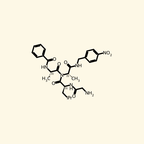 CC(C)C[C@H](NC(=O)CN)C(=O)N(C(=O)[C@H](C)NC(=O)c1ccccc1)[C@@H](C)C(=O)NCc1ccc([N+](=O)[O-])cc1